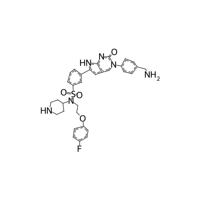 NCc1ccc(-n2cc3cc(-c4cccc(S(=O)(=O)N(CCOc5ccc(F)cc5)C5CCNCC5)c4)[nH]c3nc2=O)cc1